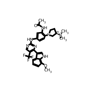 COc1cccc2c(-c3nc(Nc4ccc(N5CC[C@@H](N(C)C)C5)c(NC(C)=O)c4)ncc3C(F)(F)F)c[nH]c12